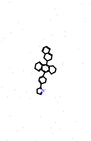 C1=CC2=CCC(c3c4c(c(C5=CC=C(C6=[N+]=CCC6)CC5)c5c3=CCCC=5)CCCC4)CC2C=C1